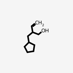 C=CC(CO)CC1CCCC1